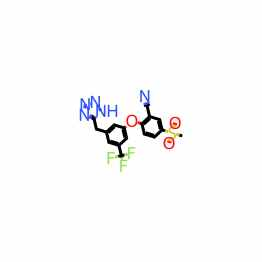 CS(=O)(=O)c1ccc(Oc2cc(Cc3nnn[nH]3)cc(C(F)(F)F)c2)c(C#N)c1